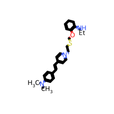 CCNC1=C(OCSCC[n+]2ccc(/C=C/c3ccc(N(C)C)cc3)cc2)C=CCC1